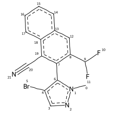 Cn1ncc(Br)c1-c1c(C(F)F)cc2ccccc2c1C#N